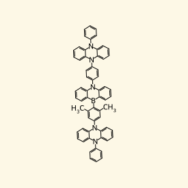 Cc1cc(N2c3ccccc3N(c3ccccc3)c3ccccc32)cc(C)c1B1c2ccccc2N(c2ccc(N3c4ccccc4N(c4ccccc4)c4ccccc43)cc2)c2ccccc21